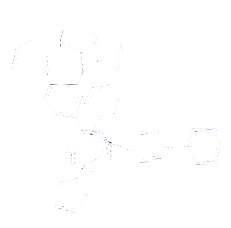 c1ccc(-c2cc(-c3ccc(-c4cccnc4)nc3)nc(-c3ccc4c(c3)C3(c5ccccc5-c5ccccc5-4)c4ccccc4-c4cc5sc6ccccc6c5cc43)n2)cc1